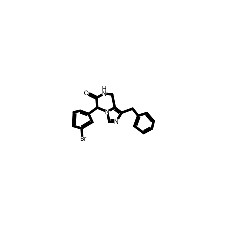 O=C1NCc2c(Cc3ccccc3)ncn2C1c1cccc(Br)c1